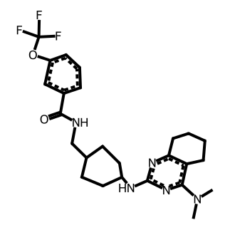 CN(C)c1nc(NC2CCC(CNC(=O)c3cccc(OC(F)(F)F)c3)CC2)nc2c1CCCC2